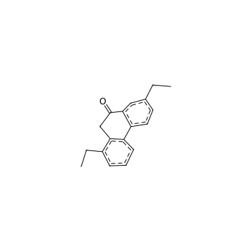 CCc1ccc2c(c1)C(=O)Cc1c(CC)cccc1-2